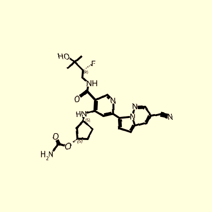 CC(C)(O)[C@H](F)CNC(=O)c1cnc(-c2ccc3cc(C#N)cnn23)cc1N[C@H]1CC[C@H](OC(N)=O)C1